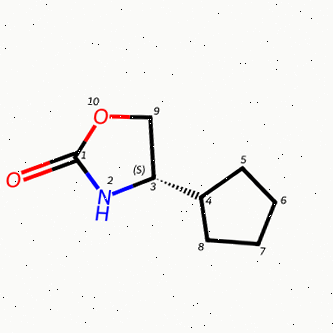 O=C1N[C@@H](C2CCCC2)CO1